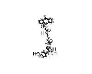 C[C@H](NC(=O)CNC(=O)CCCCNC(=O)CCC(=O)N1Cc2ccccc2C2=C(C2)c2ccccc21)C(=O)Nc1ccc(CO)cc1